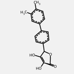 Cc1ccc(-c2ccc(C3OC(=O)C(O)=C3O)cc2)cc1C